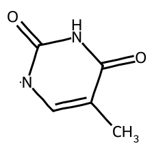 CC1=C[N]C(=O)NC1=O